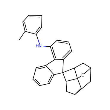 Cc1ccccc1Nc1cccc2c1-c1ccccc1C21C2CC3CC4CC1C2(C3)C4